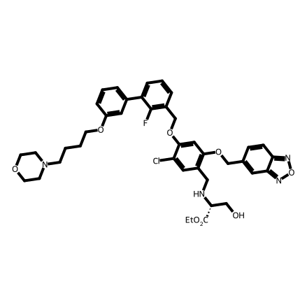 CCOC(=O)[C@@H](CO)NCc1cc(Cl)c(OCc2cccc(-c3cccc(OCCCCN4CCOCC4)c3)c2F)cc1OCc1ccc2nonc2c1